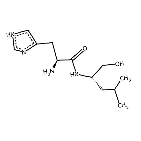 CC(C)C[C@@H](CO)NC(=O)[C@@H](N)Cc1c[nH]cn1